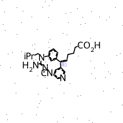 CC(C)CN(C(N)=NC#N)c1cccc(/C(=C\CCCC(=O)O)c2cccnc2)c1